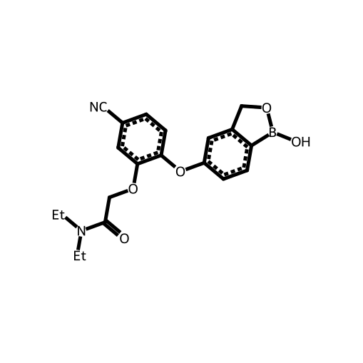 CCN(CC)C(=O)COc1cc(C#N)ccc1Oc1ccc2c(c1)COB2O